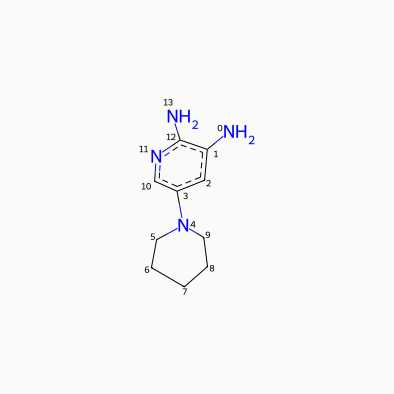 Nc1cc(N2CCCCC2)cnc1N